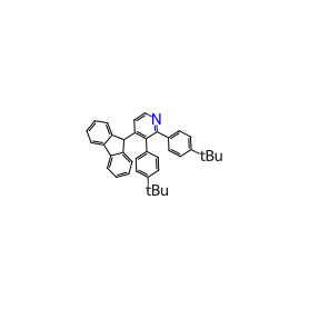 CC(C)(C)c1ccc(-c2nccc(C3c4ccccc4-c4ccccc43)c2-c2ccc(C(C)(C)C)cc2)cc1